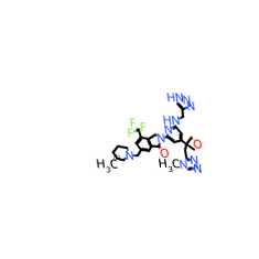 C[C@H]1CCCN(Cc2cc3c(c(C(F)(F)F)c2)CN(c2cc(C4(Cc5nncn5C)COC4)cc(NCc4c[nH]nn4)n2)C3=O)C1